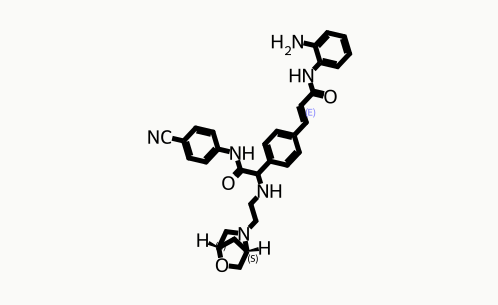 N#Cc1ccc(NC(=O)C(NCCN2C[C@@H]3C[C@H]2CO3)c2ccc(/C=C/C(=O)Nc3ccccc3N)cc2)cc1